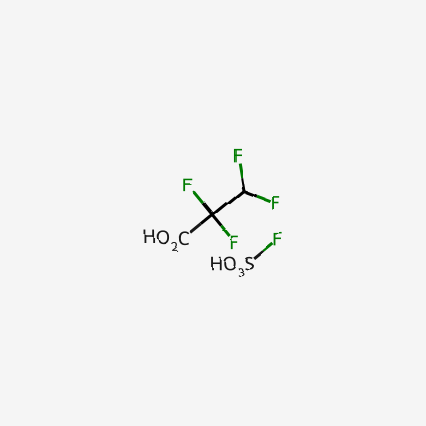 O=C(O)C(F)(F)C(F)F.O=S(=O)(O)F